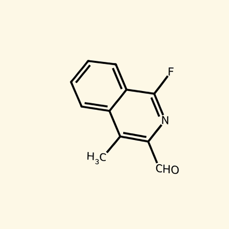 Cc1c(C=O)nc(F)c2ccccc12